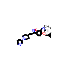 CN(C)Cc1c(OCC2CC2)ccc2c(CCC3CCN(c4cccnc4)CC3)noc12